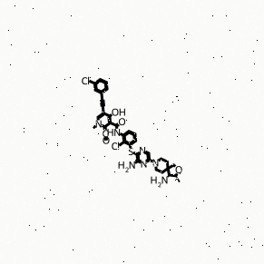 C[C@@H]1OCC2(CCN(c3cnc(Sc4cccc(NC(=O)C5=C(O)C(C#Cc6cccc(Cl)c6)=CN(C)C5=C=O)c4Cl)c(N)n3)CC2)[C@@H]1N